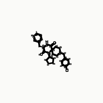 O=C1[C@@H](Cc2cccnc2)NC(=O)C2(CCN(Cc3ccc(Cl)cc3)CC2)N1C1CCCC1